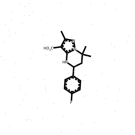 Cc1nn2c(c1C(=O)O)NC(c1ccc(F)cc1)CC2(C)C